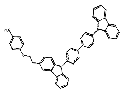 Cc1ccc(OCCc2ccc3c(c2)c2ccccc2n3-c2ccc(-c3ccc(-n4c5ccccc5c5ccccc54)cc3)cc2)cc1